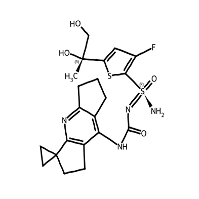 C[C@@](O)(CO)c1cc(F)c([S@](N)(=O)=NC(=O)Nc2c3c(nc4c2CCC42CC2)CCC3)s1